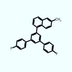 Cc1ccc2c(-c3cc(-c4ccc(F)cc4)cc(-c4ccc(F)cc4)c3)cccc2c1